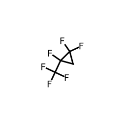 FC(F)(F)C1(F)CC1(F)F